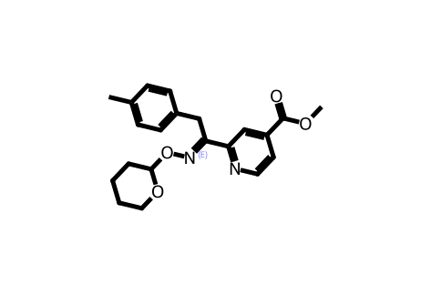 COC(=O)c1ccnc(/C(Cc2ccc(C)cc2)=N/OC2CCCCO2)c1